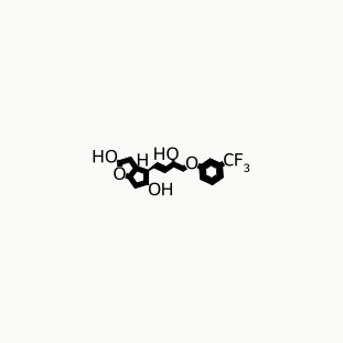 O[C@H](/C=C/[C@H]1[C@H](O)CC2O[C@@H](O)C[C@@H]21)COc1cccc(C(F)(F)F)c1